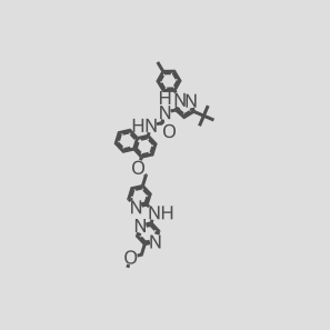 COCc1cnc(Nc2cc(COc3ccc(NC(=O)Nc4cc(C(C)(C)C)nn4-c4ccc(C)cc4)c4ccccc34)ccn2)cn1